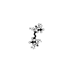 COP(=O)(OC)C(OC(=O)CCC(=O)OC(C(Cl)(Cl)Cl)P(=O)(OC)OC)C(Cl)(Cl)Cl